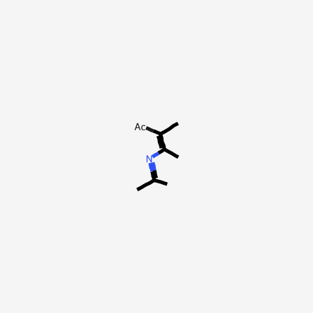 CC(=O)/C(C)=C(/C)N=C(C)C